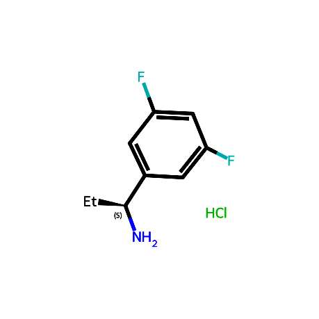 CC[C@H](N)c1cc(F)cc(F)c1.Cl